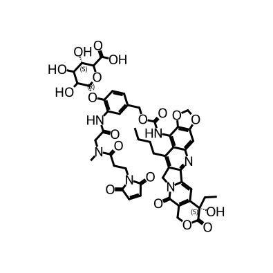 CCCCc1c2c(nc3cc4c(c(NC(=O)OCc5ccc(O[C@H]6OC(C(=O)O)[C@@H](O)C(O)C6O)c(NC(=O)CN(C)C(=O)CCN6C(=O)C=CC6=O)c5)c13)OCO4)-c1cc3c(c(=O)n1C2)COC(=O)[C@]3(O)CC